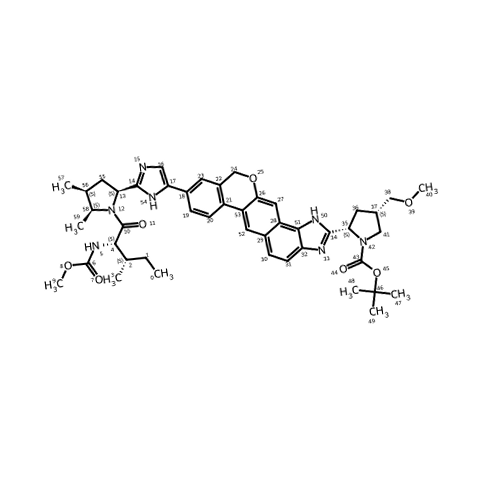 CC[C@H](C)[C@H](NC(=O)OC)C(=O)N1[C@H](c2ncc(-c3ccc4c(c3)COc3cc5c(ccc6nc([C@@H]7C[C@H](COC)CN7C(=O)OC(C)(C)C)[nH]c65)cc3-4)[nH]2)C[C@H](C)[C@@H]1C